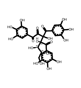 O=C(C(=O)C(O)(C(=O)c1cc(O)c(O)c(O)c1)[C@](O)(C(=O)c1cc(O)c(O)c(O)c1)[C@H](O)[C@H](O)CO)c1cc(O)c(O)c(O)c1